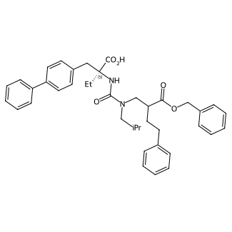 CC[C@@](Cc1ccc(-c2ccccc2)cc1)(NC(=O)N(CC(C)C)CC(CCc1ccccc1)C(=O)OCc1ccccc1)C(=O)O